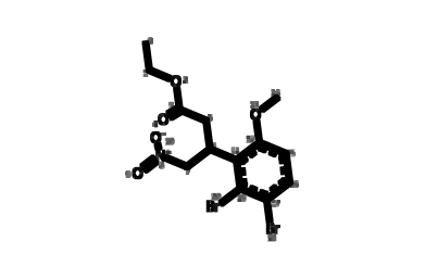 CCOC(=O)CC(C[N+](=O)[O-])c1c(OC)ccc(Br)c1Br